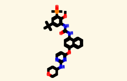 COc1c(NC(=O)Nc2ccc(Oc3ccnc(NC4CCOCC4)n3)c3ccccc23)cc(C(C)(C)C)cc1P(C)(C)=O